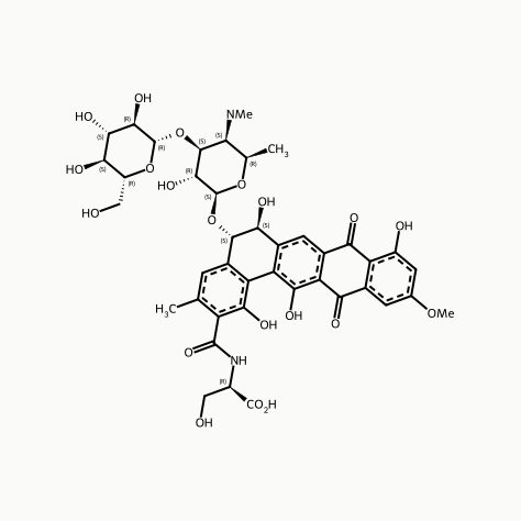 CN[C@@H]1[C@H](O[C@@H]2O[C@H](CO)[C@@H](O)[C@H](O)[C@H]2O)[C@@H](O)[C@H](O[C@H]2c3cc(C)c(C(=O)N[C@H](CO)C(=O)O)c(O)c3-c3c(cc4c(c3O)C(=O)c3cc(OC)cc(O)c3C4=O)[C@@H]2O)O[C@@H]1C